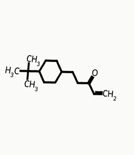 C=CC(=O)CCC1CCC(C(C)(C)C)CC1